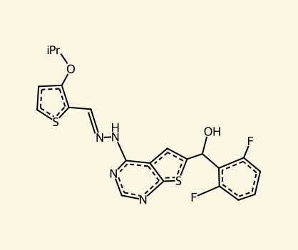 CC(C)Oc1ccsc1/C=N/Nc1ncnc2sc(C(O)c3c(F)cccc3F)cc12